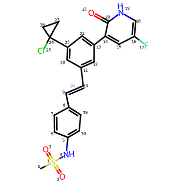 CS(=O)(=O)Nc1ccc(/C=C/c2cc(-c3cc(F)c[nH]c3=O)cc(C3(Cl)CC3)c2)cc1